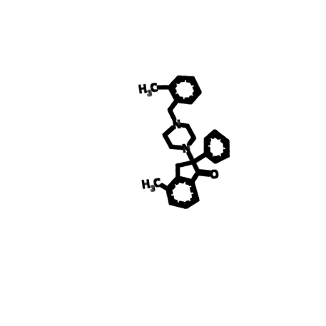 Cc1ccccc1CN1CCN(C2(c3ccccc3)Cc3c(C)cccc3C2=O)CC1